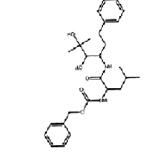 CC(C)CC(NC(=O)OCc1ccccc1)C(=O)NC(CCc1ccccc1)C(O)C(C)(C)O